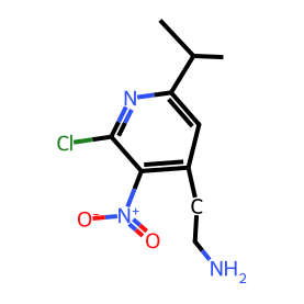 CC(C)c1cc(CCN)c([N+](=O)[O-])c(Cl)n1